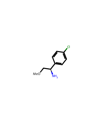 COC[C@H](N)c1ccc(Cl)cc1